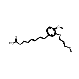 COCCCOc1cc(CCCCCCCC(=O)O)ccc1OC